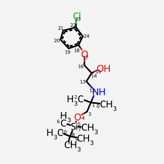 CC(C)(CO[Si](C)(C)C(C)(C)C)NCC(O)COc1cccc(Cl)c1